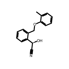 Cc1ccccc1OCc1ccccc1[C@@H](O)C#N